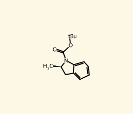 C[C@@H]1Cc2ccccc2N1C(=O)OC(C)(C)C